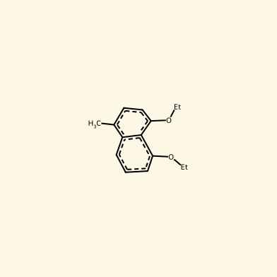 CCOc1cccc2c(C)ccc(OCC)c12